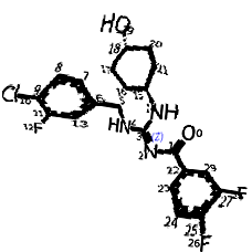 O=C(/N=C(/NCc1ccc(Cl)c(F)c1)N[C@H]1CC[C@H](O)CC1)c1ccc(F)c(F)c1